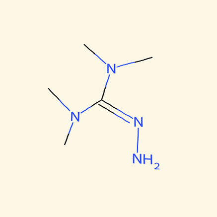 CN(C)C(=NN)N(C)C